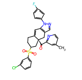 Cc1ccnc(C(=O)[C@]23Cc4cnn(-c5ccc(F)cc5)c4C=C2CC[C@H](S(=O)(=O)c2cccc(Cl)c2)C3)c1